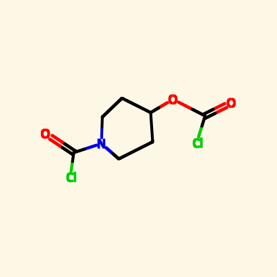 O=C(Cl)OC1CCN(C(=O)Cl)CC1